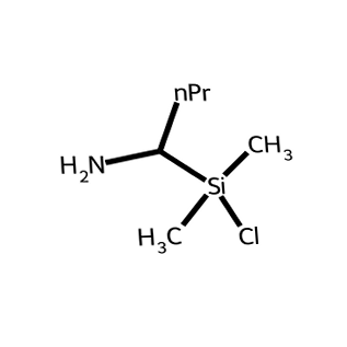 CCCC(N)[Si](C)(C)Cl